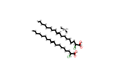 CCCCCCCCC=CCCCCCCC(Cl)C(=O)[O-].CCCCCCCCC=CCCCCCCC(Cl)C(=O)[O-].[CH3][Sn+2][CH3]